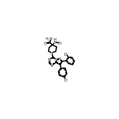 CCNC1(C(N)=O)CCN(c2ncnc3c(-c4ccc(Cl)cc4)c(-c4ccccc4Cl)nn23)CC1